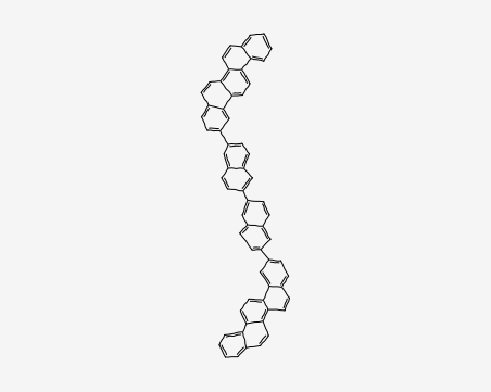 c1ccc2c(c1)ccc1c2ccc2c3cc(-c4ccc5cc(-c6ccc7cc(-c8ccc9ccc%10c(ccc%11c%12ccccc%12ccc%11%10)c9c8)ccc7c6)ccc5c4)ccc3ccc21